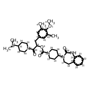 COc1c(C)cc(CC(OC(=O)N2CCC(N3CCc4ccccc4NC3=O)CC2)C(=O)N2CCC(N(C)C)CC2)cc1C